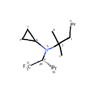 CC(C)CC(C)(C)N(C1CC1)[C@H](C(C)C)C(F)(F)F